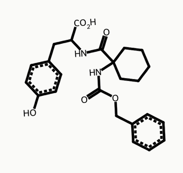 O=C(NC1(C(=O)NC(Cc2ccc(O)cc2)C(=O)O)CCCCC1)OCc1ccccc1